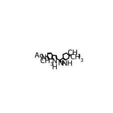 CC(=O)N(C)c1ccc2cc(-c3n[nH]c4c3CCC(C)(C)C4)[nH]c2c1